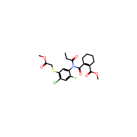 CCC(=O)N(C(=O)C1=C(C(=O)OC)CCCC1)c1cc(SCC(=O)OC)c(Cl)cc1F